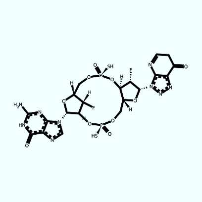 Nc1nc2c(ncn2[C@@H]2O[C@@H]3CO[P@@](=O)(S)O[C@H]4[C@H](F)[C@H](n5nnc6c5N=CCC6=O)O[C@@H]4CO[P@@](=O)(S)O[C@@H]2[C@H]3F)c(=O)[nH]1